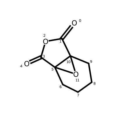 O=C1OC(=O)C23CCCCC12O3